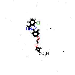 Cc1cc(OCCOC2CC(C(=O)O)C2)ccc1C1=Nc2c(Cl)cccc2C(C)N1